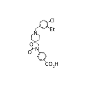 CCc1cc(CN2CCC3(CC2)CN(c2ccc(C(=O)O)cc2)C(=O)O3)ccc1Cl